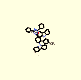 FC(F)(F)c1ccc(-c2cc(-c3nc(-c4ccccc4)nc(-c4ccccc4)n3)ccc2-n2c3ccccc3c3cc(C(F)(F)F)ccc32)c(-n2c3ccccc3c3cc(C(F)(F)F)ccc32)c1